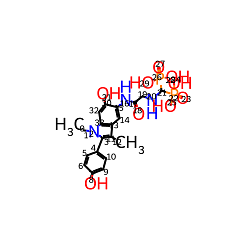 CCn1c(-c2ccc(O)cc2)c(C)c2cc(NC(=O)CNC(P(=O)(O)O)P(=O)(O)O)c(O)cc21